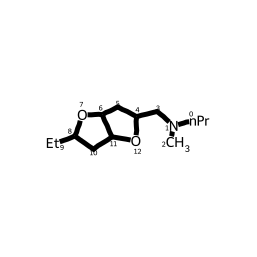 CCCN(C)CC1CC2OC(CC)CC2O1